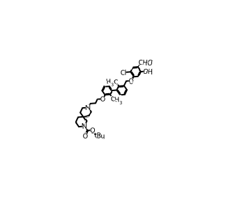 Cc1c(COc2cc(O)c(C=O)cc2Cl)cccc1-c1cccc(OCCCN2CCC3(CCCN(C(=O)OC(C)(C)C)C3)CC2)c1C